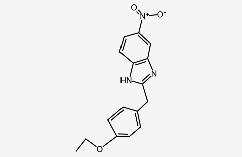 CCOc1ccc(Cc2nc3cc([N+](=O)[O-])ccc3[nH]2)cc1